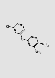 Nc1cc(Oc2cccc(Cl)c2)ccc1[N+](=O)[O-]